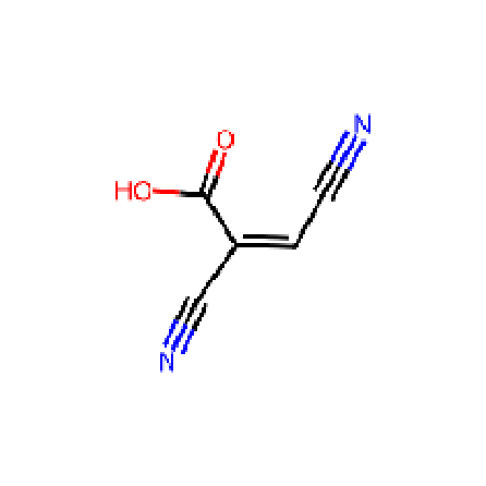 N#CC=C(C#N)C(=O)O